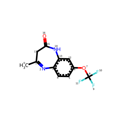 CC1=Nc2ccc(OC(F)(F)F)cc2NC(=O)C1